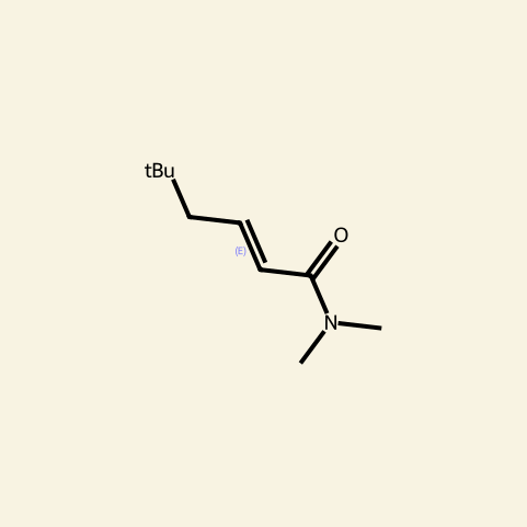 CN(C)C(=O)/C=C/CC(C)(C)C